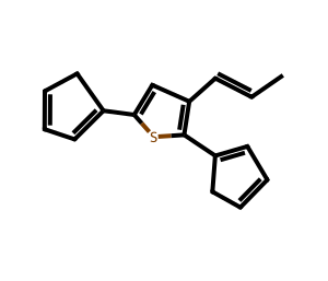 C/C=C/c1cc(C2=CC=CC2)sc1C1=CC=CC1